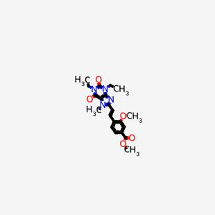 CCn1c(=O)c2c(nc(C=Cc3ccc(C(=O)OC)cc3OC)n2C)n(CC)c1=O